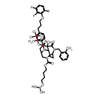 Cc1ccccc1CN(C(=O)C1(C)C(c2ccc(CCCOc3c(F)ccc(F)c3F)cc2)CC2CN(C(=O)OCCCCON(O)O)CC1N2C(=O)OC(C)(C)C(Cl)(Cl)Cl)C1CC1